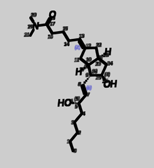 CCCCC[C@H](O)/C=C/[C@@H]1[C@H]2C/C(=C\CCCC(=O)N(C)C)C[C@H]2C[C@H]1O